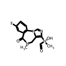 CN1Cc2c([N+](C)(O)C=O)ncn2-c2ccc(F)cc2C1=O